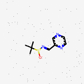 CC(C)(C)[S+]([O-])/N=C/c1cnccn1